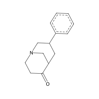 O=C1CCN2CC1CC(c1ccccc1)C2